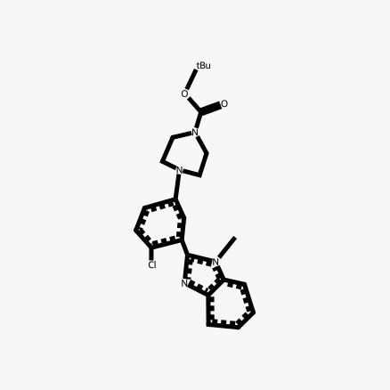 Cn1c(-c2cc(N3CCN(C(=O)OC(C)(C)C)CC3)ccc2Cl)nc2ccccc21